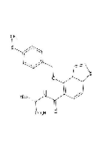 CC(C)(C)[C@H](NC(=O)C1=C(OCc2ccc(SC(F)(F)F)cc2)C2C=CSC2C=C1)C(=O)O